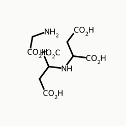 NCC(=O)O.O=C(O)CC(NC(CC(=O)O)C(=O)O)C(=O)O